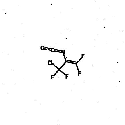 O=C=NC(=C(F)F)C(F)(F)Cl